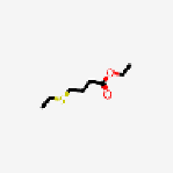 CCOC(=O)CCCSCC